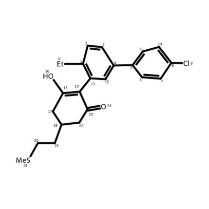 CCc1ccc(-c2ccc(Cl)cc2)cc1C1=C(O)CC(CCSC)CC1=O